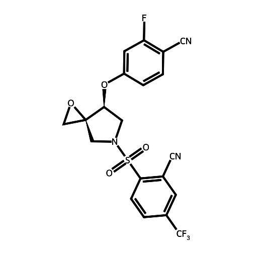 N#Cc1ccc(O[C@H]2CN(S(=O)(=O)c3ccc(C(F)(F)F)cc3C#N)C[C@]23CO3)cc1F